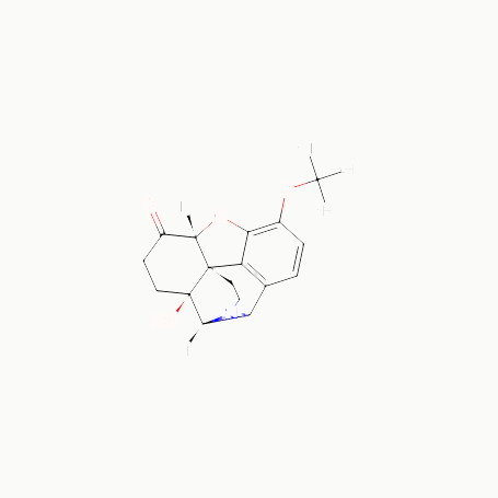 [2H]C([2H])([2H])Oc1ccc2c3c1O[C@H]1C(=O)CC[C@@]4(O)[C@@H](C2)NCC[C@]314